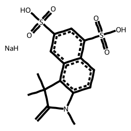 C=C1N(C)c2ccc3c(S(=O)(=O)O)cc(S(=O)(=O)O)cc3c2C1(C)C.[NaH]